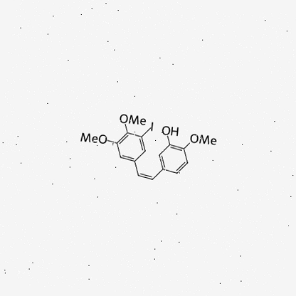 COc1ccc(/C=C\c2cc(I)c(OC)c(OC)c2)cc1O